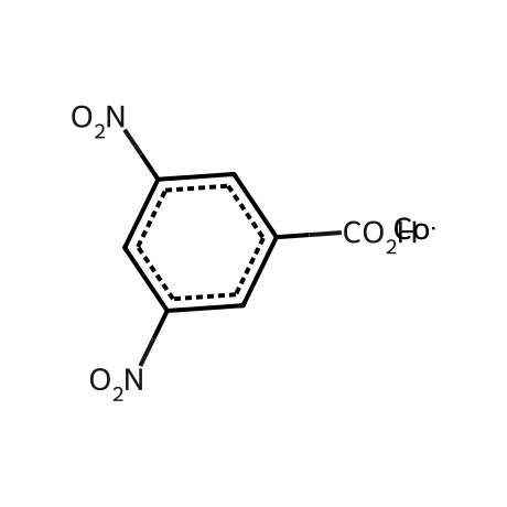 O=C(O)c1cc([N+](=O)[O-])cc([N+](=O)[O-])c1.[Co]